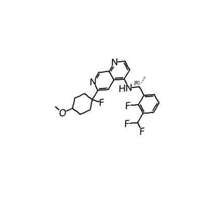 COC1CCC(F)(c2cc3c(N[C@H](C)c4cccc(C(F)F)c4F)ccnc3cn2)CC1